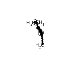 C=CCCCCCCCCC(=O)Oc1cnc(-c2ccc(CCC(C)OC(C)=O)cc2)nc1